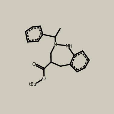 CC(c1ccccc1)N1CC(C(=O)OC(C)(C)C)Cc2ccccc2N1